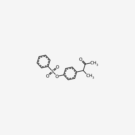 CC(=O)C(C)c1ccc(OS(=O)(=O)c2ccccc2)cc1